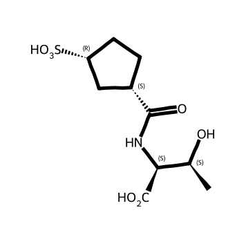 C[C@H](O)[C@H](NC(=O)[C@H]1CC[C@@H](S(=O)(=O)O)C1)C(=O)O